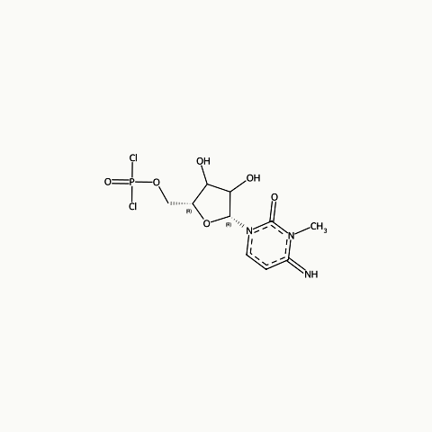 Cn1c(=N)ccn([C@@H]2O[C@H](COP(=O)(Cl)Cl)C(O)C2O)c1=O